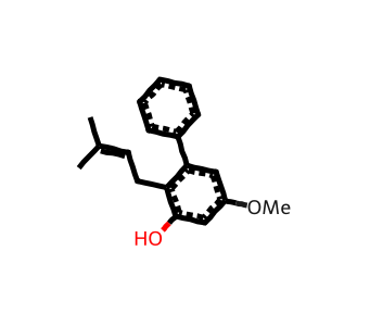 COc1cc(O)c(CC=C(C)C)c(-c2ccccc2)c1